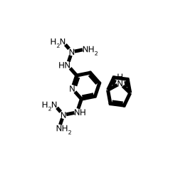 NN(N)Nc1cccc(NN(N)N)n1.c1cc2ccc1[nH]2